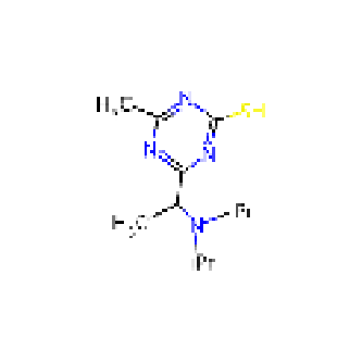 Cc1nc(S)nc(C(C)N(C(C)C)C(C)C)n1